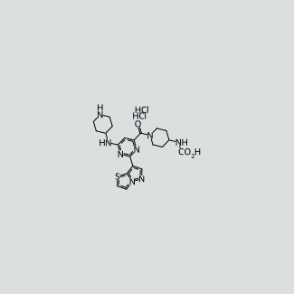 Cl.Cl.O=C(O)NC1CCN(C(=O)c2cc(NC3CCNCC3)nc(-c3cnn4ccsc34)n2)CC1